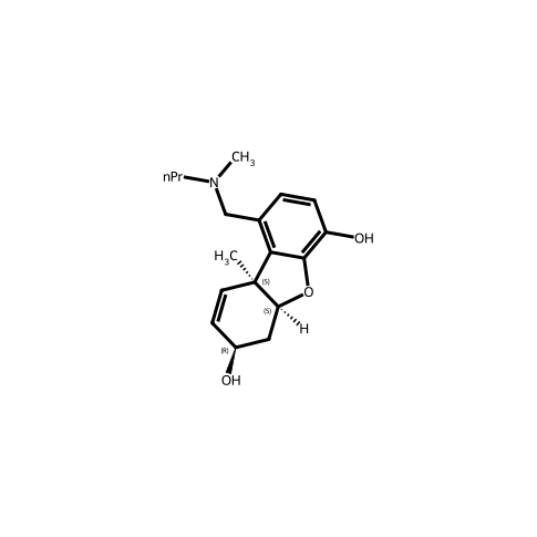 CCCN(C)Cc1ccc(O)c2c1[C@]1(C)C=C[C@H](O)C[C@@H]1O2